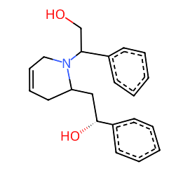 OCC(c1ccccc1)N1CC=CCC1C[C@@H](O)c1ccccc1